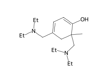 CCN(CC)CC1=CC=C(O)C(C)(CN(CC)CC)C1